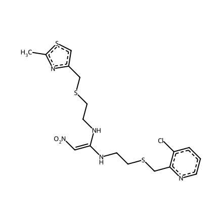 Cc1nc(CSCCNC(=C[N+](=O)[O-])NCCSCc2ncccc2Cl)cs1